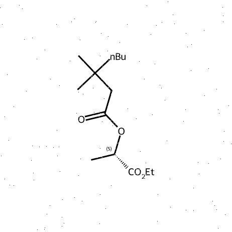 CCCCC(C)(C)CC(=O)O[C@@H](C)C(=O)OCC